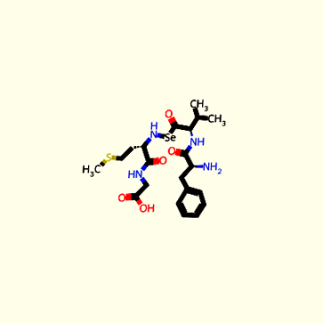 CSCC[C@H](N[Se]C(=O)[C@@H](NC(=O)[C@@H](N)Cc1ccccc1)C(C)C)C(=O)NCC(=O)O